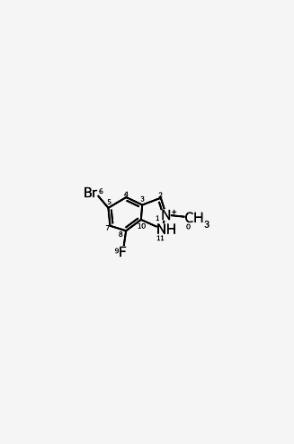 C[n+]1cc2cc(Br)cc(F)c2[nH]1